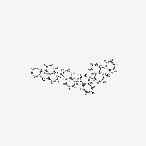 c1ccc2c(c1)Oc1ccc(-c3cccc4c(-c5ccc(-c6ccc7c8c(cccc68)-c6ccccc6O7)c6ccccc56)cccc34)c3cccc-2c13